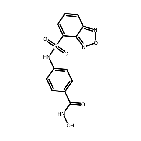 O=C(NO)c1ccc(NS(=O)(=O)c2cccc3nonc23)cc1